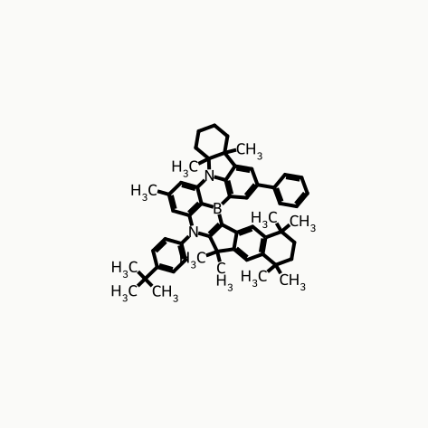 Cc1cc2c3c(c1)N1c4c(cc(-c5ccccc5)cc4C4(C)CCCCC14C)B3C1=C(N2c2ccc(C(C)(C)C)cc2)C(C)(C)c2cc3c(cc21)C(C)(C)CCC3(C)C